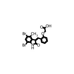 Cc1c(Br)cc(Br)c2c1C(=Cc1ccccc1OCC(=O)O)C(=O)N2